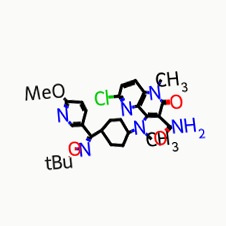 COc1ccc(C(=NOC(C)(C)C)C2CCC(N(C)c3c(C(N)=O)c(=O)n(C)c4ccc(Cl)nc34)CC2)cn1